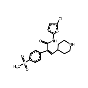 CS(=O)(=O)c1ccc(C(=CC2CCNCC2)C(=O)Nc2ncc(Cl)s2)cc1